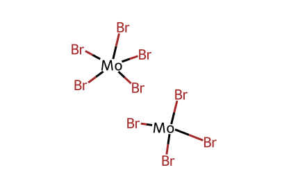 [Br][Mo]([Br])([Br])([Br])[Br].[Br][Mo]([Br])([Br])[Br]